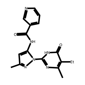 CCc1c(C)nc(-n2nc(C)cc2NC(=O)c2cccnc2)[nH]c1=O